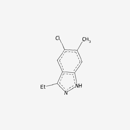 CCc1n[nH]c2cc(C)c(Cl)cc12